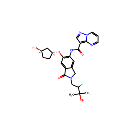 CC(C)(O)C(F)CN1Cc2cc(NC(=O)c3cnn4cccnc34)c(O[C@@H]3CC[C@@H](O)C3)cc2C1=O